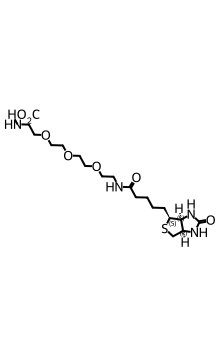 O=C(O)NCCOCCOCCOCCNC(=O)CCCC[C@@H]1SC[C@@H]2NC(=O)N[C@@H]21